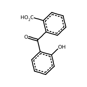 O=C(O)c1ccccc1C(=O)c1ccccc1O